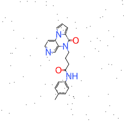 Cc1ccc(NC(=O)CCCn2c(=O)c3cccn3c3ccncc32)cc1